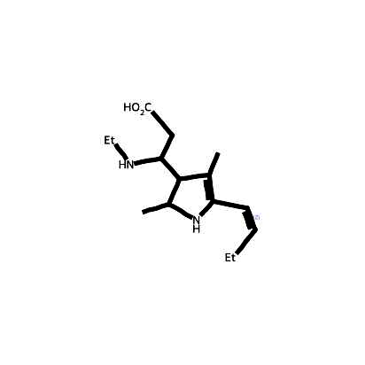 CC/C=C\C1=C(C)C(C(CC(=O)O)NCC)C(C)N1